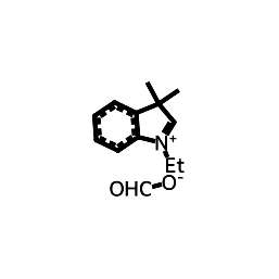 CC[N+]1=CC(C)(C)c2ccccc21.O=C[O-]